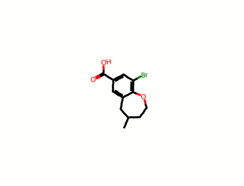 CC1CCOc2c(Br)cc(C(=O)O)cc2C1